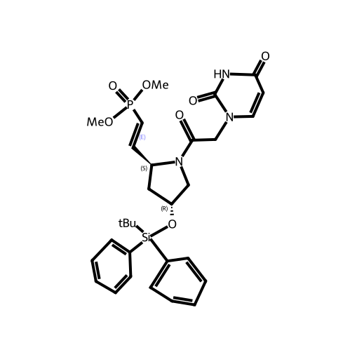 COP(=O)(/C=C/[C@@H]1C[C@@H](O[Si](c2ccccc2)(c2ccccc2)C(C)(C)C)CN1C(=O)Cn1ccc(=O)[nH]c1=O)OC